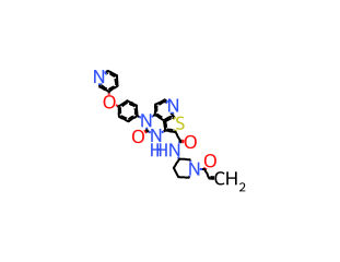 C=CC(=O)N1CCCC(NC(=O)c2sc3nccc4c3c2NC(=O)N4c2ccc(Oc3cccnc3)cc2)C1